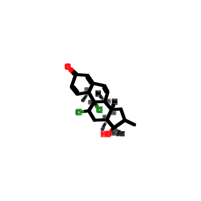 CC(=O)[C@@]1(O)C(C)C[C@H]2[C@@H]3C=CC4=CC(=O)C=C[C@]4(C)[C@@]3(Cl)C(Cl)C[C@@]21C